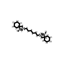 CN(C)C1(CNCCCCCCNCC2(N(C)C)CCCCC2)CCCCC1